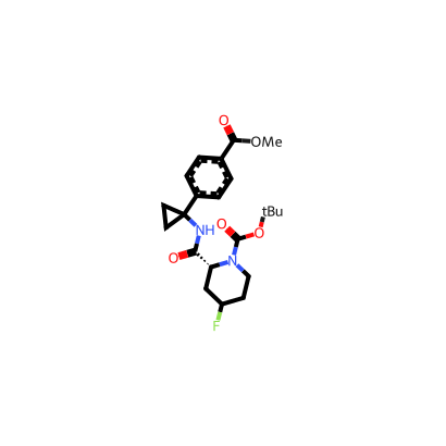 COC(=O)c1ccc(C2(NC(=O)[C@H]3CC(F)CCN3C(=O)OC(C)(C)C)CC2)cc1